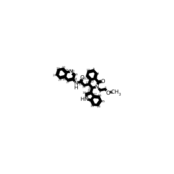 COCCN1C(=O)c2ccccc2C(CC(=O)Nc2cnc3ccccc3c2)C1c1c[nH]c2ccccc12